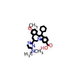 COc1ccc2c(c1)C=C(c1nccc(N(C)C)n1)Cn1c-2c(C2CCCCC2)c2ccc(C(=O)O)cc21